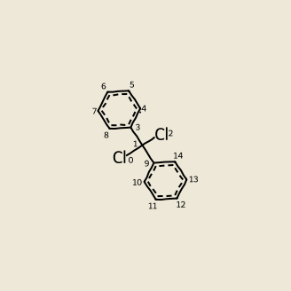 ClC(Cl)(c1[c]cccc1)c1ccccc1